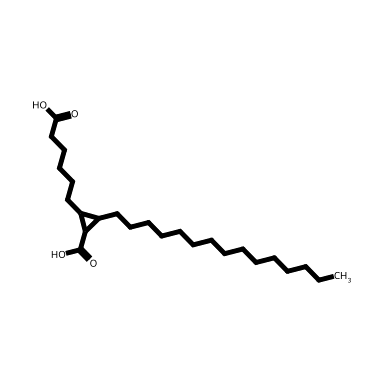 CCCCCCCCCCCCCCCC1C(CCCCCC(=O)O)C1C(=O)O